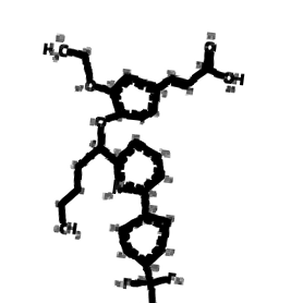 CCCCC(Oc1ccc(C=CC(=O)O)cc1OCC)c1cccc(-c2ccc(C(F)(F)F)cc2)n1